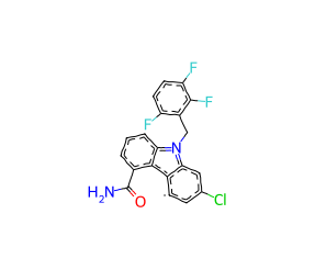 NC(=O)c1cccc2c1c1[c]cc(Cl)cc1n2Cc1c(F)ccc(F)c1F